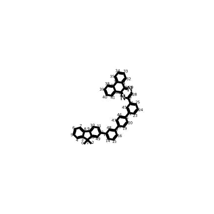 CC1(C)c2ccccc2-c2ccc(-c3cccc(-c4ccc(-c5cccc(-c6cnc7c8ccccc8c8ccccc8c7n6)c5)cc4)c3)cc21